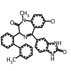 Cc1ccccc1-c1ccccc1C1N=C(c2ccc3[nH]c(=O)[nH]c3c2)c2cc(Cl)ccc2N(C)C1=O